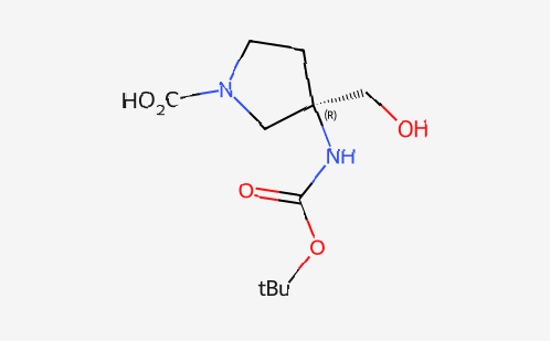 CC(C)(C)OC(=O)N[C@]1(CO)CCN(C(=O)O)C1